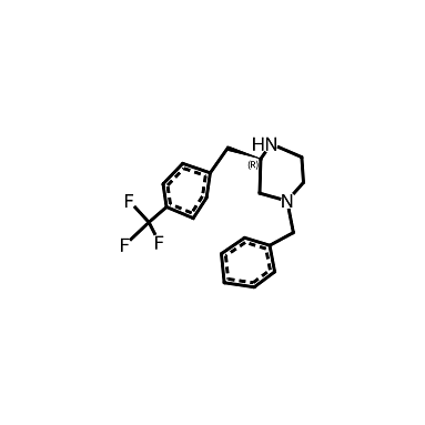 FC(F)(F)c1ccc(C[C@@H]2CN(Cc3ccccc3)CCN2)cc1